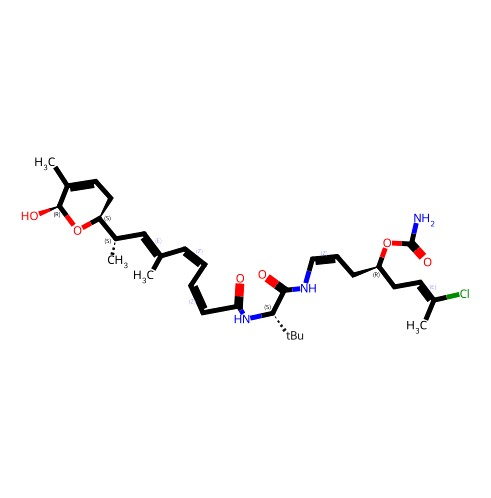 CC1=CC[C@@H]([C@@H](C)/C=C(C)/C=C\C=C/C(=O)N[C@H](C(=O)N/C=C\C[C@H](C/C=C(\C)Cl)OC(N)=O)C(C)(C)C)O[C@H]1O